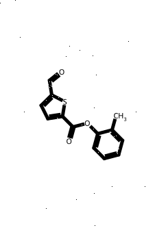 Cc1ccccc1OC(=O)c1ccc(C=O)s1